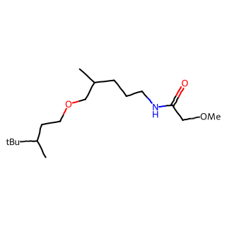 COCC(=O)NCCCC(C)COCCC(C)C(C)(C)C